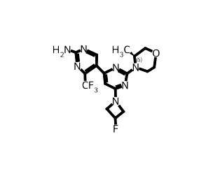 C[C@H]1COCCN1c1nc(-c2cnc(N)nc2C(F)(F)F)cc(N2CC(F)C2)n1